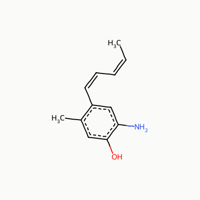 C/C=C\C=C/c1cc(N)c(O)cc1C